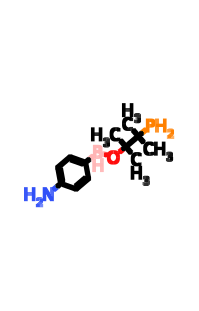 CC(C)(P)C(C)(C)OBc1ccc(N)cc1